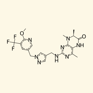 COc1ncc(Cn2cc(CNc3nc(C)c4c(n3)N(C)[C@@H](C)C(=O)N4)cn2)cc1C(F)(F)F